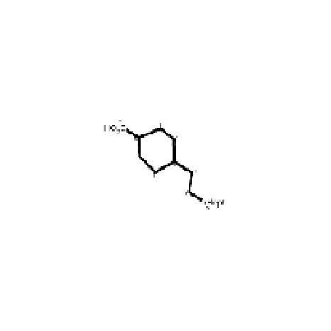 CCCCCCCCCC1CCC(C(=O)O)CC1